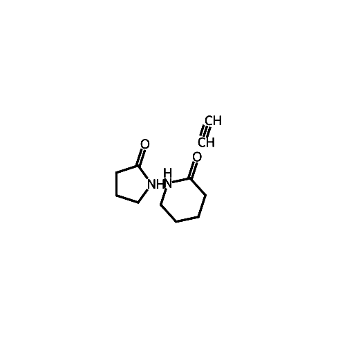 C#C.O=C1CCCCN1.O=C1CCCN1